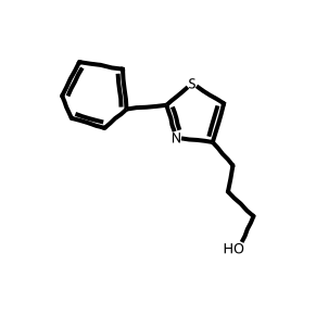 OCCCc1csc(-c2ccccc2)n1